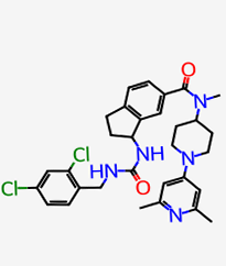 Cc1cc(N2CCC(N(C)C(=O)c3ccc4c(c3)C(NC(=O)NCc3ccc(Cl)cc3Cl)CC4)CC2)cc(C)n1